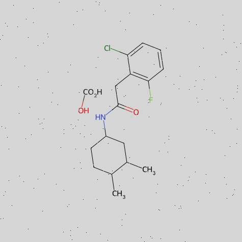 CC1CCC(NC(=O)Cc2c(F)cccc2Cl)CC1C.O=C(O)O